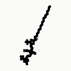 CCCCCCCCCCCCCCCCCC/[O+]=C1N=C(C(C)(C)C)/C(=C/C=C2/C(=O)C(/C=C/c3sc(C)nc3C(C)(C)C)=C2O)S\1